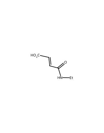 CCNC(=O)/C=C/C(=O)O